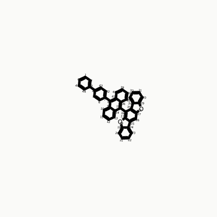 c1ccc(-c2ccc(-c3c4ccccc4c(-c4c5oc6ccccc6c5cc5oc6ccccc6c45)c4ccccc34)cc2)cc1